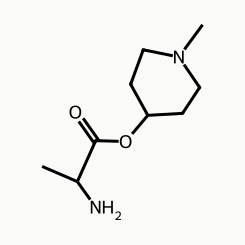 CC(N)C(=O)OC1CCN(C)CC1